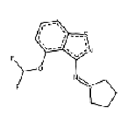 FC(F)Oc1cccc2snc(N=S3CCCC3)c12